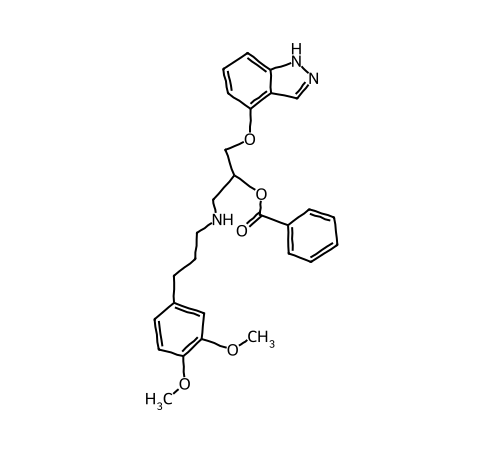 COc1ccc(CCCNCC(COc2cccc3[nH]ncc23)OC(=O)c2ccccc2)cc1OC